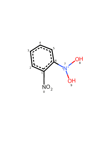 O=[N+]([O-])c1ccccc1[N+](O)O